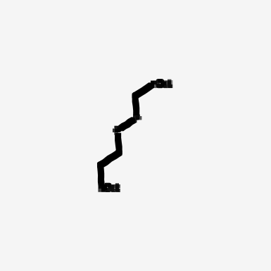 CCCCCCCCCC[P][P]CCCCCCCCC